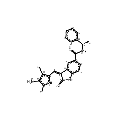 Cc1[nH]c(/C=C2\C(=O)Nc3ccc(C(=O)N[C@H](C)c4ccccn4)cc32)c(C)c1N